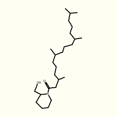 CC(C)CCCC(C)CCCC(C)CCCC(C)CC(=O)N1CCCCC1CO